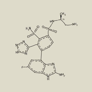 C[C@@H](CN)NS(=O)(=O)c1ccc(-c2cc(F)cc3[nH]c(N)nc23)c(-c2nn[nH]n2)c1S(N)(=O)=O